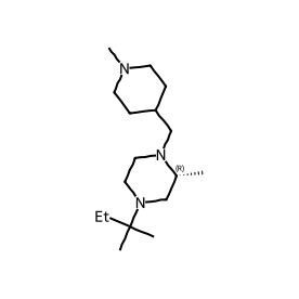 CCC(C)(C)N1CCN(CC2CCN(C)CC2)[C@H](C)C1